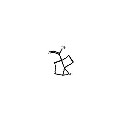 O=C(O)C12CCC3NC31CC2